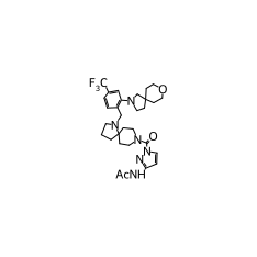 CC(=O)Nc1ccn(C(=O)N2CCC3(CCCN3Cc3ccc(C(F)(F)F)cc3N3CCC4(CCOCC4)C3)CC2)n1